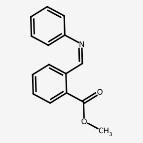 COC(=O)c1ccccc1/C=N\c1ccccc1